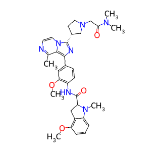 COc1cc(-c2nc([C@@H]3CCN(CC(=O)N(C)C)C3)n3ccnc(C)c23)ccc1NC(=O)C1Cc2c(OC)cccc2N1C